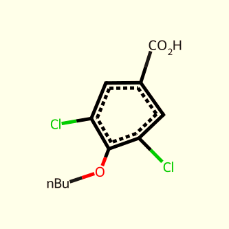 CCCCOc1c(Cl)cc(C(=O)O)cc1Cl